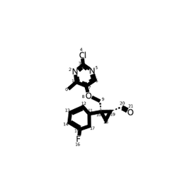 Cc1nc(Cl)ncc1OC[C@@]1(C2C=CC=C(F)C2)C[C@H]1C=O